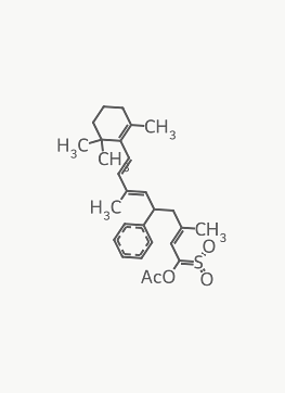 CC(=O)OC(C=C(C)CC(C=C(C)C=CC1=C(C)CCCC1(C)C)c1ccccc1)=S(=O)=O